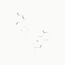 C=C1NC(=O)C=CN1[C@@H]1O[C@H](COP(=O)(NC(CC(C)C)C(=O)OC)NC(CC(C)C)C(=O)OC)[C@H](O)C1(C)O